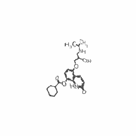 CC(C)NCC(O)COc1ccc(OC(=O)C2CCCCC2)c2[nH]c(=O)ccc12